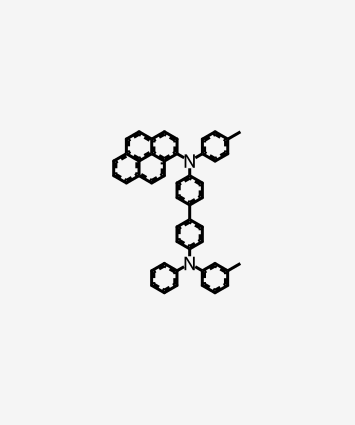 Cc1ccc(N(c2ccc(-c3ccc(N(c4ccccc4)c4cccc(C)c4)cc3)cc2)c2ccc3ccc4cccc5ccc2c3c45)cc1